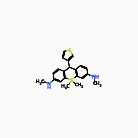 CNc1ccc2c(c1)S(C)(C)c1cc(NC)ccc1C2c1ccsc1